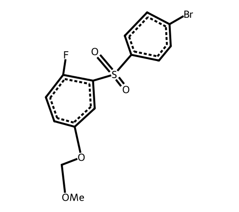 COCOc1ccc(F)c(S(=O)(=O)c2ccc(Br)cc2)c1